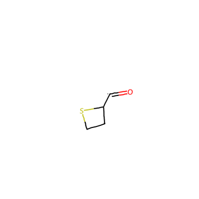 O=[C]C1CCS1